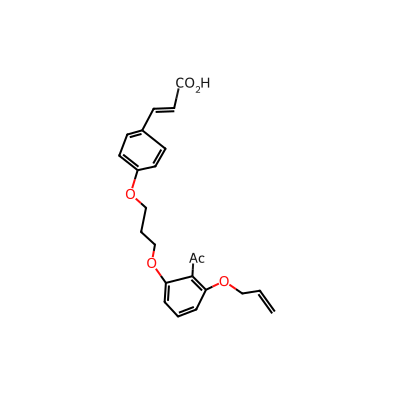 C=CCOc1cccc(OCCCOc2ccc(C=CC(=O)O)cc2)c1C(C)=O